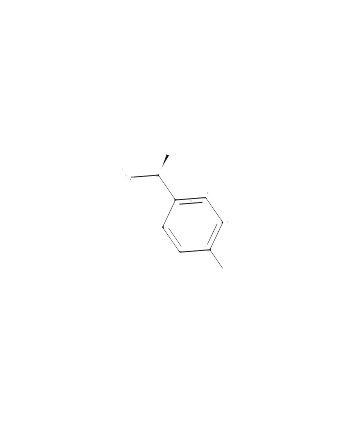 Cc1ccc([C@@H](N)C(F)(F)F)cc1